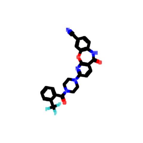 N#Cc1ccc2c(c1)Oc1nc(N3CCN(C(=O)c4ccccc4C(F)(F)F)CC3)ccc1C(=O)N2